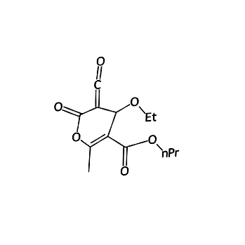 CCCOC(=O)C1=C(C)OC(=O)C(=C=O)C1OCC